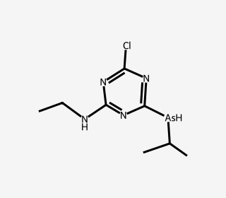 CCNc1nc(Cl)nc([AsH]C(C)C)n1